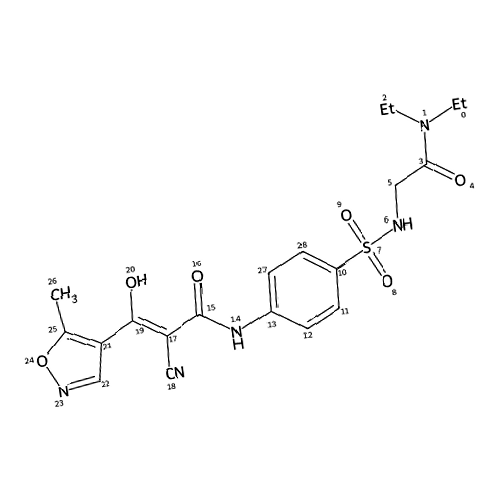 CCN(CC)C(=O)CNS(=O)(=O)c1ccc(NC(=O)/C(C#N)=C(\O)c2cnoc2C)cc1